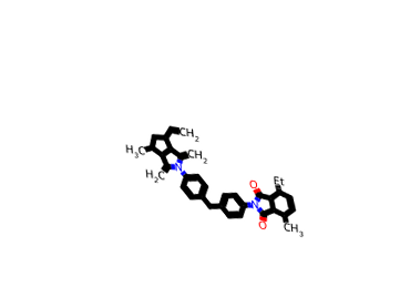 C=CC1CC(C)C2C(=C)N(c3ccc(Cc4ccc(N5C(=O)C6C(C)C=CC(CC)C6C5=O)cc4)cc3)C(=C)C12